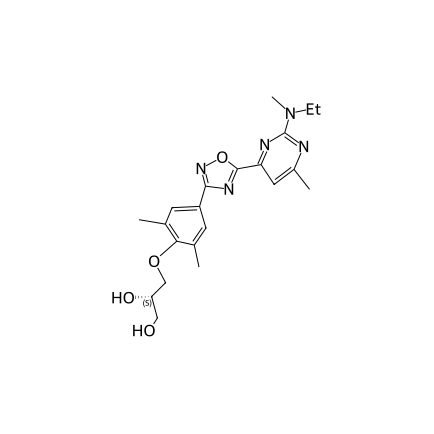 CCN(C)c1nc(C)cc(-c2nc(-c3cc(C)c(OC[C@@H](O)CO)c(C)c3)no2)n1